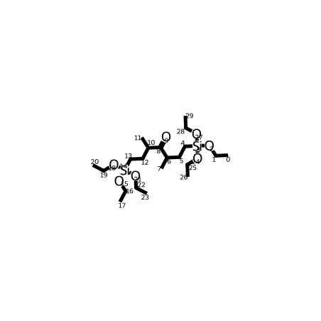 CCO[Si](CCC(C)C(=O)C(C)CC[Si](OCC)(OCC)OCC)(OCC)OCC